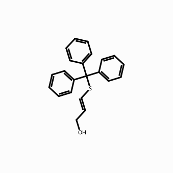 OCC=CSC(c1ccccc1)(c1ccccc1)c1ccccc1